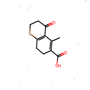 CC1=C(C(=O)O)CCC2=C1C(=O)CCS2